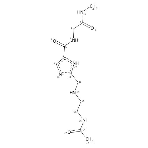 CNC(=O)CNC(=O)c1cnc(CNCCNC(C)=O)[nH]1